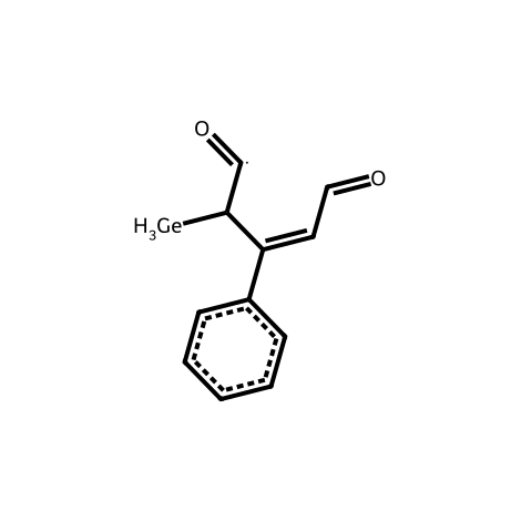 O=[C][CH]([GeH3])C(=CC=O)c1ccccc1